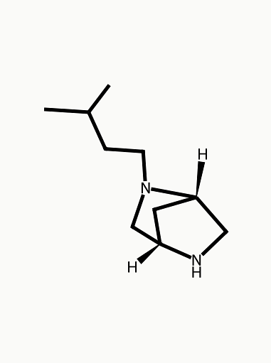 CC(C)CCN1C[C@@H]2C[C@H]1CN2